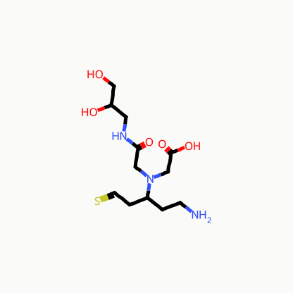 NCCC(CC=S)N(CC(=O)O)CC(=O)NCC(O)CO